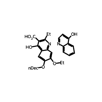 CCCCCCCCCCOc1cc2c(O)c(C(=O)O)c(CC)nc2cc1OCC.Oc1ccnc2ccccc12